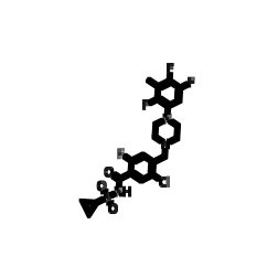 Cc1c(F)c(F)cc(N2CCN(Cc3cc(F)c(C(=O)NS(=O)(=O)C4CC4)cc3Cl)CC2)c1F